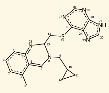 Cc1cccc2c1=CN(CC1CC1)C(CSc1ncnc3[nH]cnc13)N=2